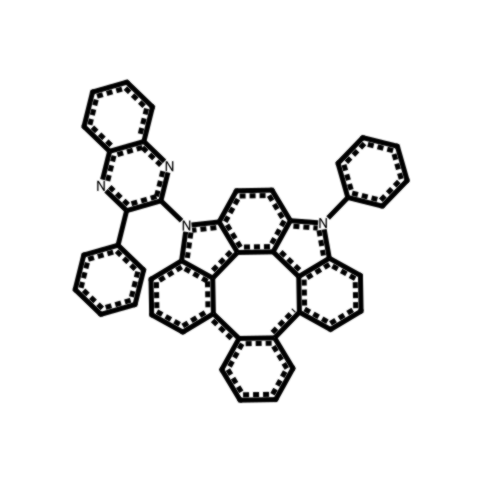 c1ccc(-c2nc3ccccc3nc2-n2c3cccc4c5ccccc5c5cccc6c5c5c(c43)c2ccc5n6-c2ccccc2)cc1